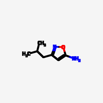 CC(C)Cc1cc(N)on1